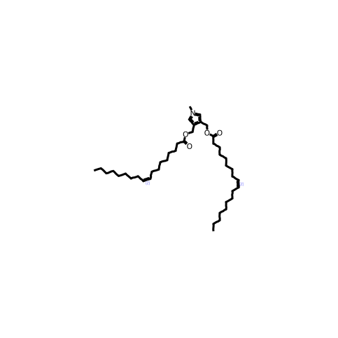 CCCCCCCC/C=C\CCCCCCCC(=O)OCc1cn(C)cc1COC(=O)CCCCCCC/C=C\CCCCCCCC